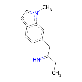 CCC(=N)Cc1ccc2ccn(C)c2c1